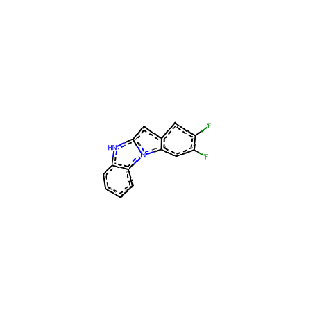 Fc1cc2cc3[nH]c4ccccc4n3c2cc1F